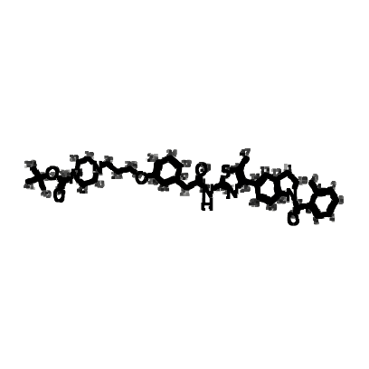 Cc1ccccc1C(=O)N1CCc2cc(-c3nc(NC(=O)Cc4cccc(OCCCN5CCN(C(=O)OC(C)(C)C)CC5)c4)sc3C)ccc21